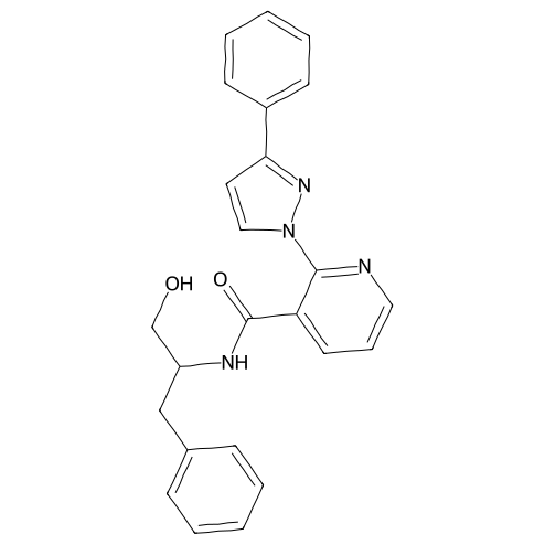 O=C(NC(CO)Cc1ccccc1)c1cccnc1-n1ccc(-c2ccccc2)n1